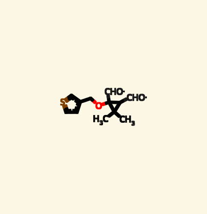 CC1(C)C([C]=O)C1([C]=O)OCc1ccsc1